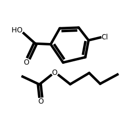 CCCCOC(C)=O.O=C(O)c1ccc(Cl)cc1